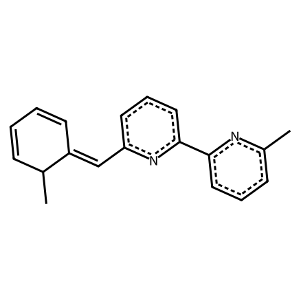 Cc1cccc(-c2cccc(/C=C3\C=CC=CC3C)n2)n1